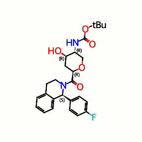 CC(C)(C)OC(=O)N[C@@H]1CO[C@@H](C(=O)N2CCc3ccccc3[C@@H]2c2ccc(F)cc2)C[C@H]1O